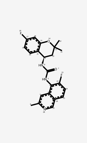 Cc1cc2c(NC(=O)N[C@@H]3CC(C)(C)Oc4cc(F)ccc43)c(F)ccc2cn1